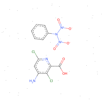 Nc1cc(Cl)nc(C(=O)O)c1Cl.O=[N+]([O-])N(c1ccccc1)[N+](=O)[O-]